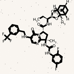 CC[C@H](NC(=O)[C@@H]1C[C@@](C)(NC(=O)Nc2cc(F)ccc2F)c2ncc(NCc3cccc(C(F)(F)F)c3)c(=O)n21)B1O[C@@H]2C[C@@H]3C[C@@H](C3(C)C)[C@]2(C)O1